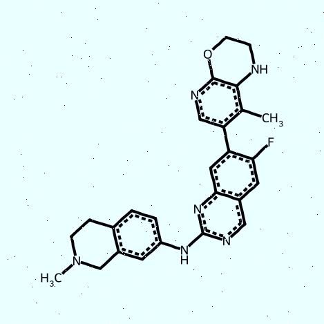 Cc1c(-c2cc3nc(Nc4ccc5c(c4)CN(C)CC5)ncc3cc2F)cnc2c1NCCO2